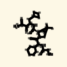 CC(C)(C)OC(=O)N[C@H](C(=O)N1CC2C([C@H]1C(=O)NC(CC1CCC1)C(=O)C(N)=O)C2(C)C)C1CCCCC1